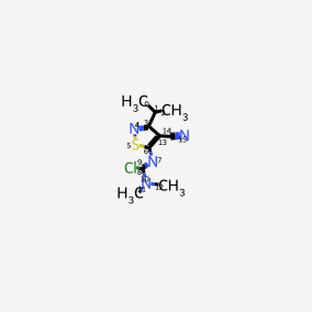 CC(C)c1nsc(N=C(Cl)N(C)C)c1C#N